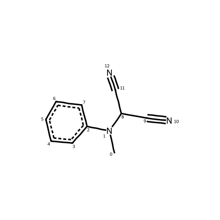 CN(c1ccccc1)C(C#N)C#N